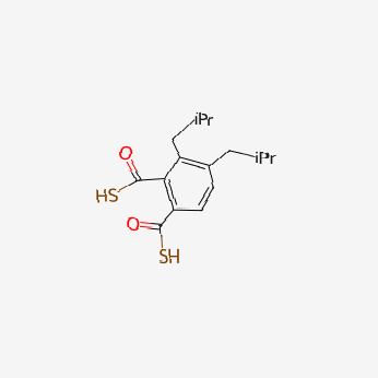 CC(C)Cc1ccc(C(=O)S)c(C(=O)S)c1CC(C)C